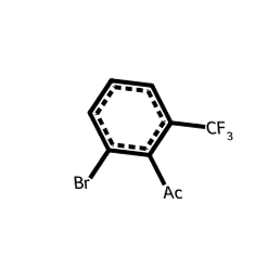 CC(=O)c1c(Br)cccc1C(F)(F)F